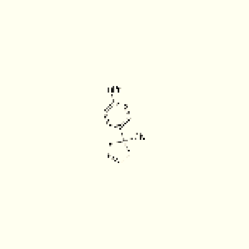 CCCc1ccc(C2(C#N)CC=CC2)cc1